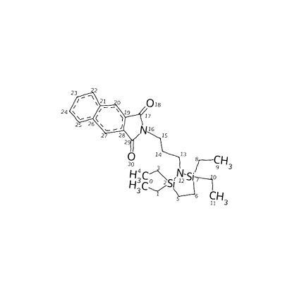 CC[Si]1(CC)CC[Si](CC)(CC)N1CCCN1C(=O)c2cc3ccccc3cc2C1=O